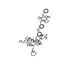 CC(C)(C)OC(=O)N[C@@H](CCN1CCCCC1)C(O)N[C@@H](Cc1cccc(Oc2cccc(C[C@@H](C(=O)OCc3ccccc3)N3CCCC3O)c2)c1)C(=O)NCC(F)(F)F